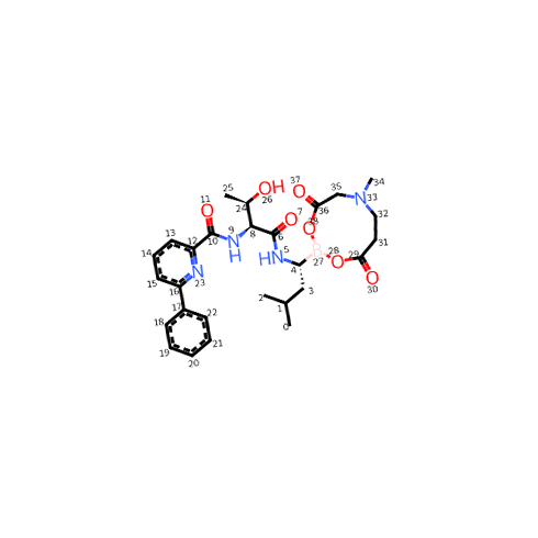 CC(C)C[C@H](NC(=O)[C@@H](NC(=O)c1cccc(-c2ccccc2)n1)[C@@H](C)O)B1OC(=O)CCN(C)CC(=O)O1